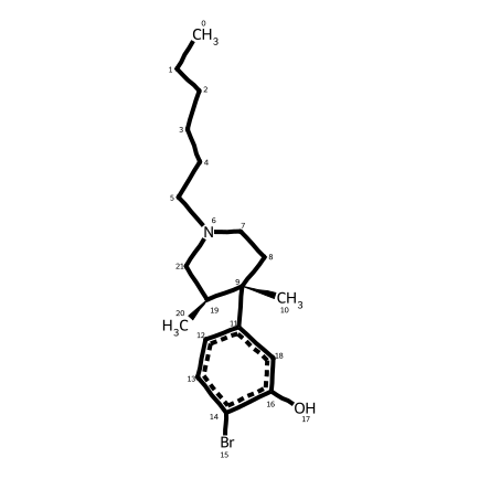 CCCCCCN1CC[C@](C)(c2ccc(Br)c(O)c2)[C@@H](C)C1